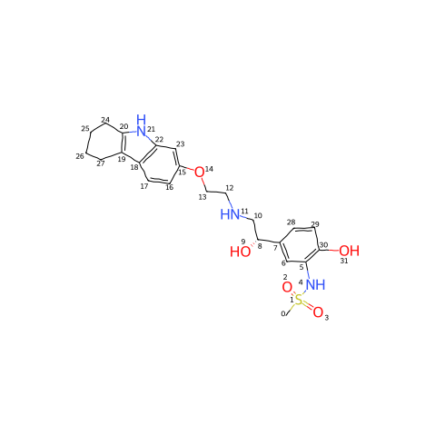 CS(=O)(=O)Nc1cc([C@H](O)CNCCOc2ccc3c4c([nH]c3c2)CCCC4)ccc1O